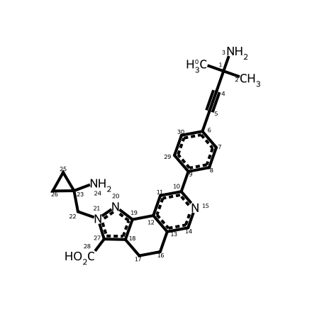 CC(C)(N)C#Cc1ccc(-c2cc3c(cn2)CCc2c-3nn(CC3(N)CC3)c2C(=O)O)cc1